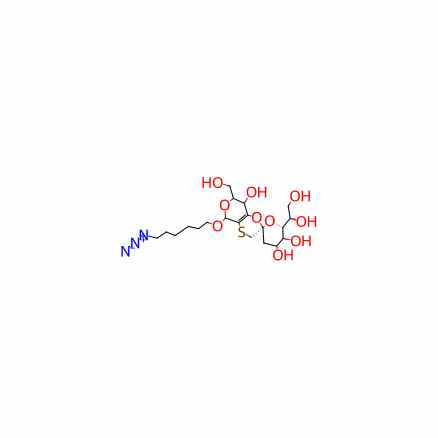 [N-]=[N+]=NCCCCCCOC1OC(CO)C(O)C2=C1SC[C@]1(CC(O)C(O)[C@@H]([C@H](O)CO)O1)O2